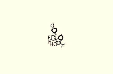 COc1ccc(CSC(CC(F)(F)F)(C(=O)O)c2ccccc2CC(C)C)cc1